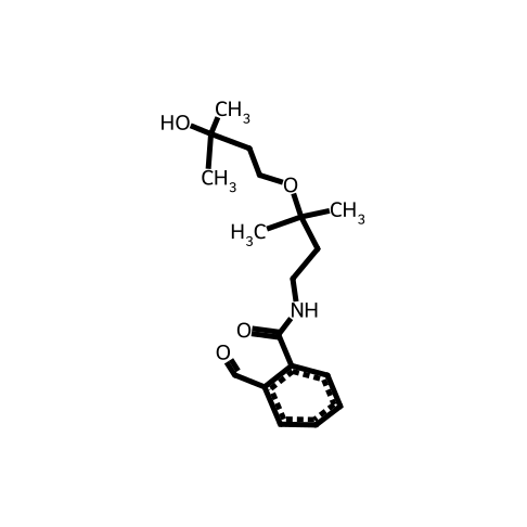 CC(C)(O)CCOC(C)(C)CCNC(=O)c1ccccc1C=O